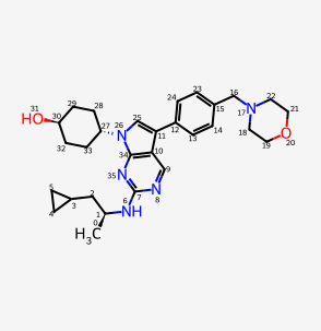 C[C@@H](CC1CC1)Nc1ncc2c(-c3ccc(CN4CCOCC4)cc3)cn([C@H]3CC[C@H](O)CC3)c2n1